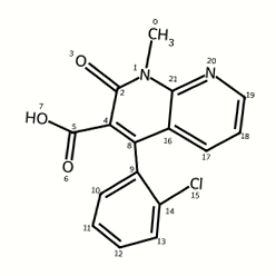 Cn1c(=O)c(C(=O)O)c(-c2ccccc2Cl)c2cccnc21